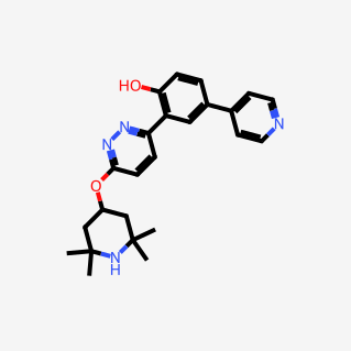 CC1(C)CC(Oc2ccc(-c3cc(-c4ccncc4)ccc3O)nn2)CC(C)(C)N1